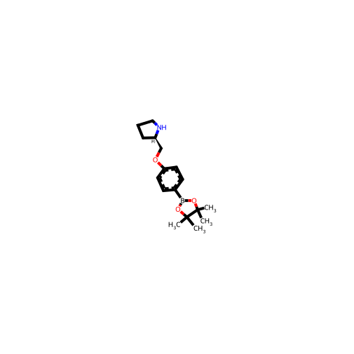 CC1(C)OB(c2ccc(OC[C@H]3CCCN3)cc2)OC1(C)C